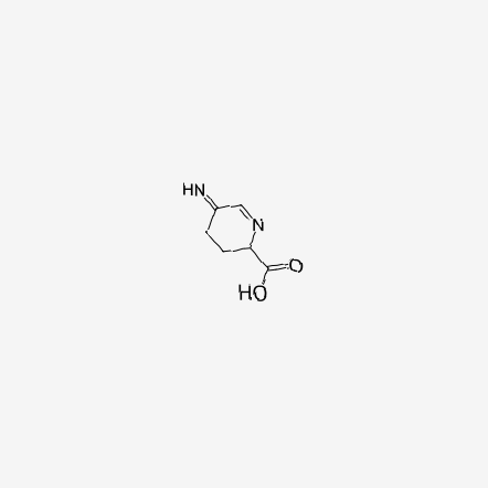 N=C1C=NC(C(=O)O)CC1